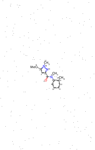 COc1cc(C(=O)N(C)c2ccccc2C)nn1C